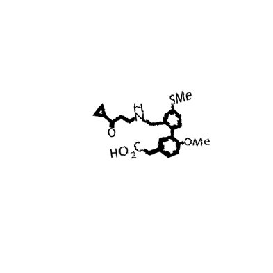 COc1ccc(CC(=O)O)cc1-c1ccc(SC)cc1CNCCC(=O)C1CC1